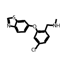 CNCc1ccc(Cl)cc1Oc1ccc2ncsc2c1